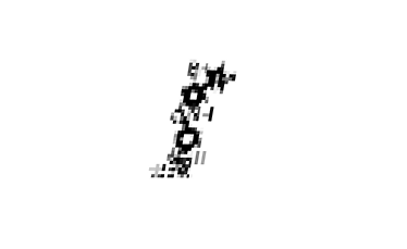 Cn1cc(Br)c(-c2cccc(NC(=O)C3CCC(NS(=O)(=O)C(C)(C)C)CC3)c2)n1